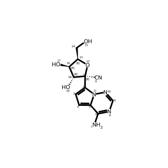 N#C[C@@]1(c2ccc3c(N)ncnn23)O[C@H](CO)[C@H](O)[C@H]1O